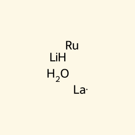 O.[La].[LiH].[Ru]